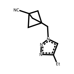 CCc1cn(CC23CC(C#N)(C2)C3)nn1